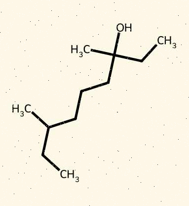 CCC(C)CCCC(C)(O)CC